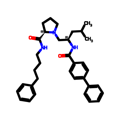 CC(C)C[C@H](CN1CCC[C@H]1C(=O)NCCCCc1ccccc1)NC(=O)c1ccc(-c2ccccc2)cc1